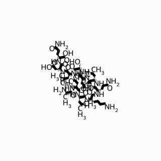 CC(C)C[C@H](NC(=O)[C@H](C)N)C(=O)N[C@@H](CC(C)C)C(=O)N[C@@H](CCCCN)C(=O)N[C@@H](CCC(N)=O)C(=O)N[C@@H](CC(C)C)C(=O)N[C@@H](CC(=O)O)C(=O)N[C@@H](CO)C(=O)N[C@@H](CC(C)C)C(=O)N[C@@H](CC(=O)O)C(=O)N[C@@H](CCC(N)=O)C(=O)O